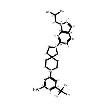 Cc1nc(N2CCC3(CC2)CCN(c2ncc4cnn(CC(F)F)c4n2)C3)cc(C(F)(F)F)n1